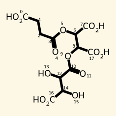 O=C(O)CCC(=O)OC(C(=O)O)C(OC(=O)C(O)C(O)C(=O)O)C(=O)O